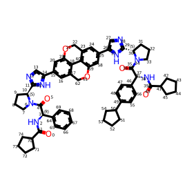 O=C(N[C@@H](C(=O)N1CCC[C@H]1c1ncc(-c2cc3c4c(c2)OCc2cc(-c5cnc([C@@H]6CCCN6C(=O)[C@H](NC(=O)C6CCCC6)c6ccc(C7CCCC7)cc6)[nH]5)cc(c2-4)OC3)[nH]1)c1ccccc1)C1CCCC1